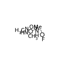 COc1c(-c2ncc(Cc3ccc(F)cc3)[nH]2)cc(C)c2[nH]c(C)nc12